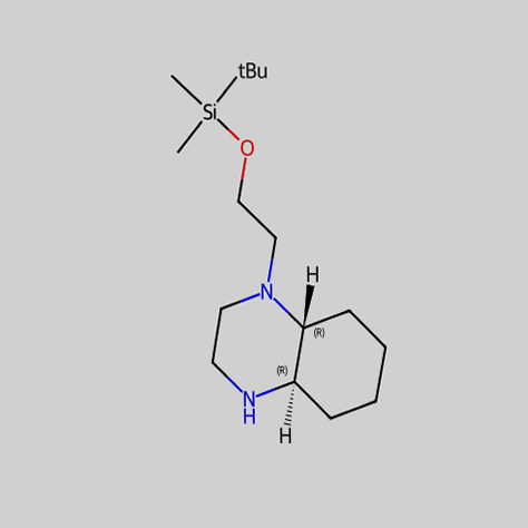 CC(C)(C)[Si](C)(C)OCCN1CCN[C@@H]2CCCC[C@H]21